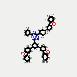 C1=CC(c2ccc3oc4ccccc4c3c2)CC=C1c1nc(-c2ccccc2)nc(-c2cc(-c3ccc4oc5ccccc5c4c3)cc(-c3ccc4oc5ccccc5c4c3)c2)n1